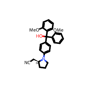 COc1ccccc1C(O)(c1ccc(N2CCC[C@H]2CC#N)cc1)c1ccccc1OC